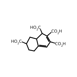 O=C(O)C1=C(C(=O)O)C(C(=O)O)C2CC(C(=O)O)CCC2=C1